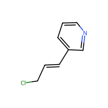 ClCC=Cc1cccnc1